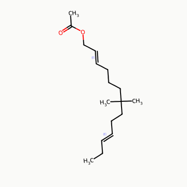 CC/C=C/CCC(C)(C)CCC/C=C/COC(C)=O